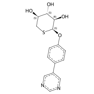 O[C@@H]1[C@@H](O)[C@@H](Oc2ccc(-c3cncnc3)cc2)SC[C@H]1O